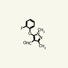 Cc1nn(C)c(Oc2ccccc2F)c1C=O